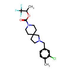 Cc1ccc(CN2CCC3(CCN(C(=O)OC(C)C(F)(F)F)CC3)C2)cc1Cl